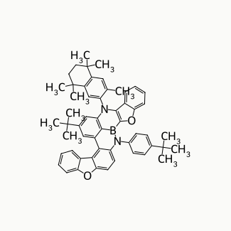 Cc1cc2c(cc1N1c3cc(C(C)(C)C)cc4c3B(c3oc5ccccc5c31)N(c1ccc(C(C)(C)C)cc1)c1ccc3oc5ccccc5c3c1-4)C(C)(C)CCC2(C)C